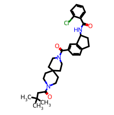 CC(C)(C)CC(=O)N1CCC2(CC1)CCN(C(=O)c1ccc3c(c1)C(NC(=O)c1ccccc1Cl)CC3)CC2